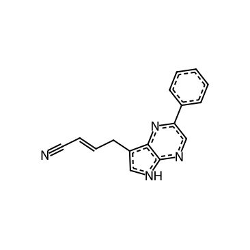 N#C/C=C/Cc1c[nH]c2ncc(-c3ccccc3)nc12